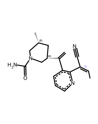 C=C(c1cccnc1/C(C#N)=C\C)[C@H]1C[C@@H](C)CN(C(N)=O)C1